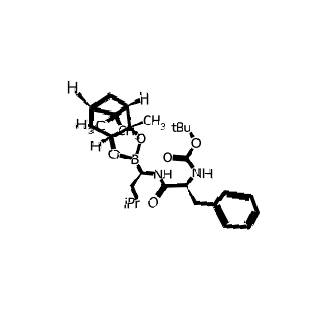 CC(C)C[C@H](NC(=O)[C@H](Cc1ccccc1)NC(=O)OC(C)(C)C)B1O[C@@H]2C[C@@H]3C[C@@H](C3(C)C)[C@]2(C)O1